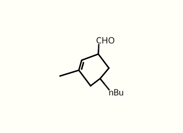 CCCCC1CC(C)=CC(C=O)C1